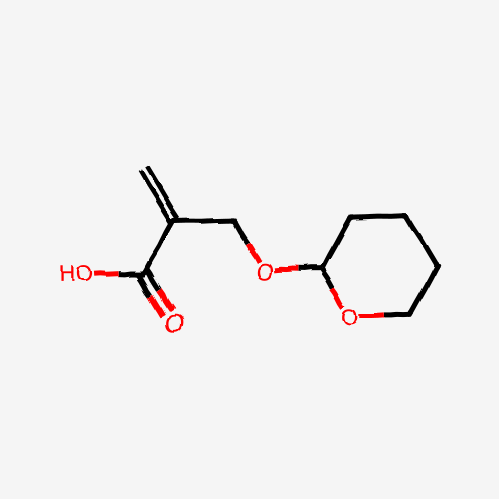 C=C(COC1CCCCO1)C(=O)O